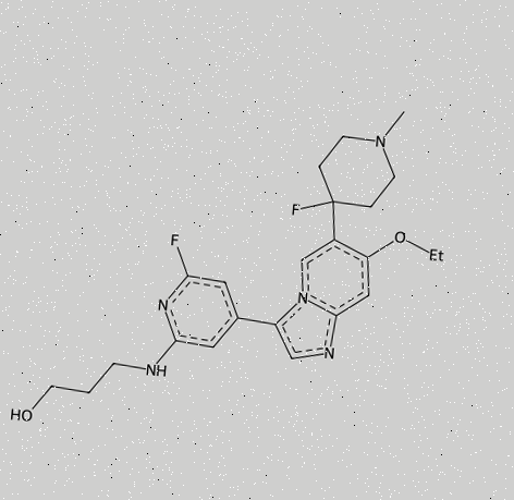 CCOc1cc2ncc(-c3cc(F)nc(NCCCO)c3)n2cc1C1(F)CCN(C)CC1